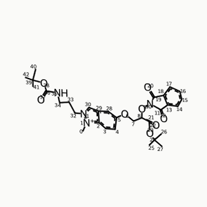 C[n+]1c2ccc(OCC(ON3C(=O)c4ccccc4C3=O)C(=O)OC(C)(C)C)cc2cn1CCCNC(=O)OC(C)(C)C